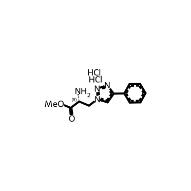 COC(=O)[C@H](N)Cn1cc(-c2ccccc2)nn1.Cl.Cl